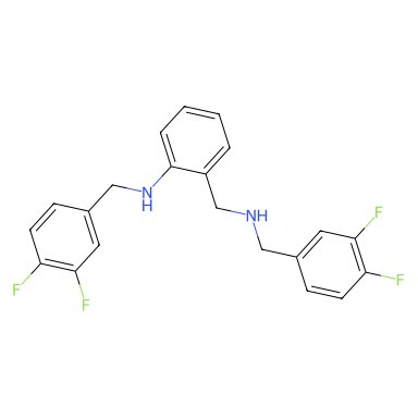 Fc1ccc(CNCc2ccccc2NCc2ccc(F)c(F)c2)cc1F